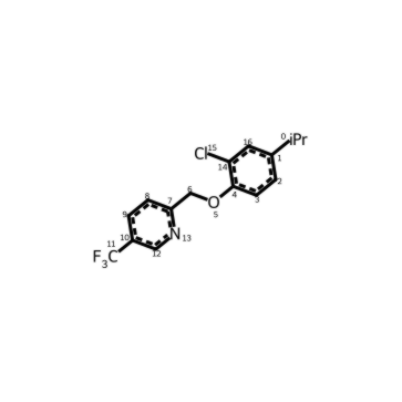 CC(C)c1ccc(OCc2ccc(C(F)(F)F)cn2)c(Cl)c1